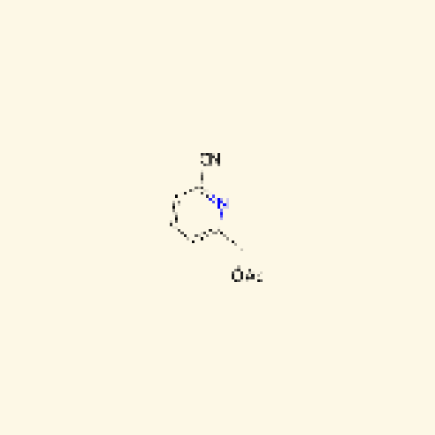 CC(=O)OCc1cccc(C#N)n1